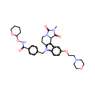 CN1C(=O)C2c3c(n(Cc4ccc(C(=O)NOC5CCCCO5)cc4)c4ccc(OCCN5CCOCC5)cc34)CCN2C1=O